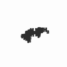 COC(=O)c1cc(F)nc(C#Cc2ccnc(NC(=O)C(CC(F)F)c3ccc(F)cc3)c2)c1N